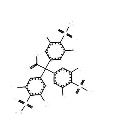 Cc1cc(C(C(N)=O)(c2cc(C)c(S(N)(=O)=O)c(C)c2)c2cc(C)c(S(N)(=O)=O)c(C)c2)cc(C)c1S(N)(=O)=O